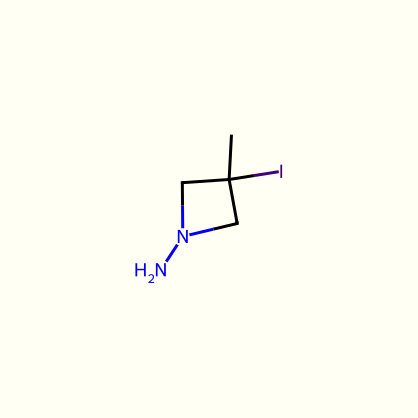 CC1(I)CN(N)C1